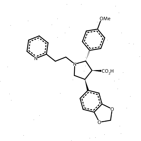 COc1ccc([C@@H]2[C@@H](C(=O)O)[C@@H](c3ccc4c(c3)OCO4)CN2CCc2ccccn2)cc1